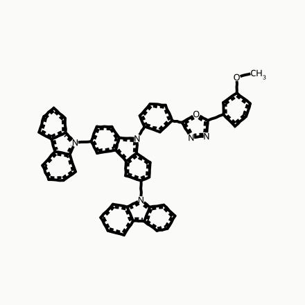 COc1cccc(-c2nnc(-c3cccc(-n4c5ccc(-n6c7ccccc7c7ccccc76)cc5c5cc(-n6c7ccccc7c7ccccc76)ccc54)c3)o2)c1